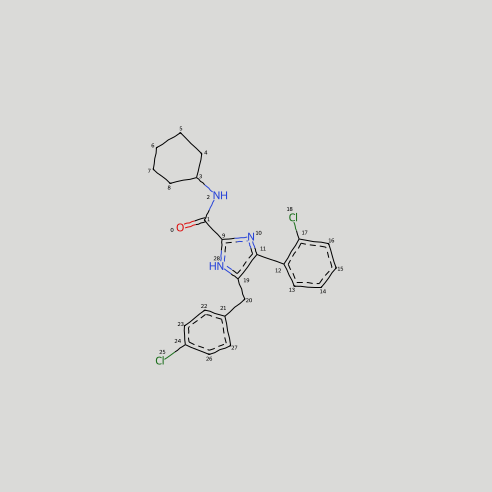 O=C(NC1CCCCC1)c1nc(-c2ccccc2Cl)c(Cc2ccc(Cl)cc2)[nH]1